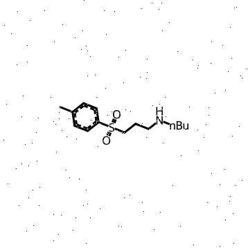 CCCCNCCCS(=O)(=O)c1ccc(C)cc1